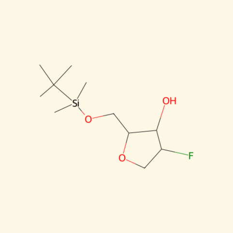 CC(C)(C)[Si](C)(C)OCC1OCC(F)C1O